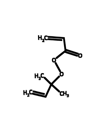 C=CC(=O)OOC(C)(C)C=C